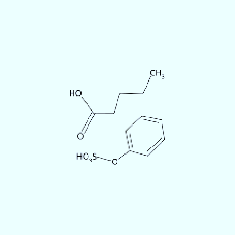 CCCCC(=O)O.O=S(=O)(O)Oc1ccccc1